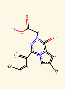 C=C(/C=C\C)c1nn(CC(=O)OI)c(=O)c2cc(C(C)C)cn12